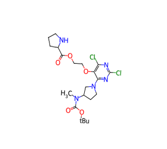 CN(C(=O)OC(C)(C)C)C1CCN(c2nc(Cl)nc(Cl)c2OCCOC(=O)C2CCCN2)C1